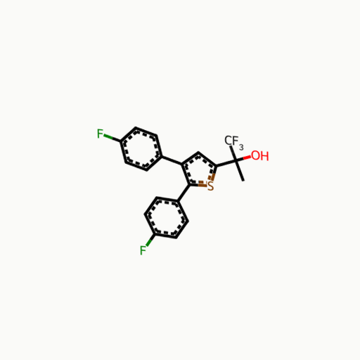 CC(O)(c1cc(-c2ccc(F)cc2)c(-c2ccc(F)cc2)s1)C(F)(F)F